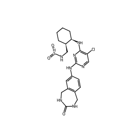 O=C1NCc2ccc(Nc3ncc(Cl)c(N[C@@H]4CCCC[C@@H]4CN[SH](=O)=O)n3)cc2CN1